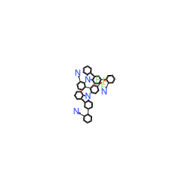 N#Cc1ccccc1-c1ccc2c(c1)c1ccccc1n2-c1ccc(C(F)(F)F)cc1-c1cccc(C#N)c1-n1c2ccccc2c2cc(-c3ccccc3C#N)ccc21